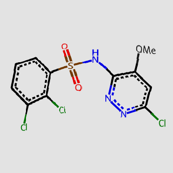 COc1cc(Cl)nnc1NS(=O)(=O)c1cccc(Cl)c1Cl